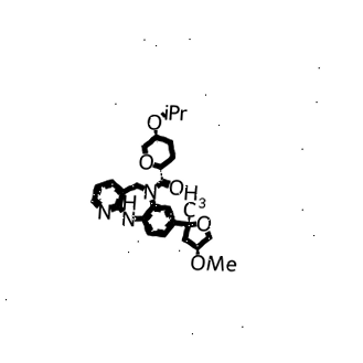 CO[C@@H]1CO[C@](C)(c2ccc3c(c2)N(C(=O)[C@H]2CC[C@H](OC(C)C)CO2)Cc2cccnc2N3)C1